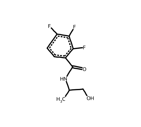 CC(CO)NC(=O)c1ccc(F)c(F)c1F